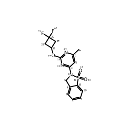 Cc1cc(N2Cc3ccccc3S2(=O)=O)nc(OC2CC(F)(F)C2)n1